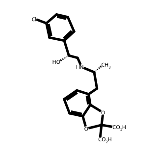 C[C@H](Cc1cccc2c1OC(C(=O)O)(C(=O)O)O2)NC[C@H](O)c1cccc(Cl)c1